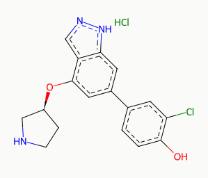 Cl.Oc1ccc(-c2cc(O[C@H]3CCNC3)c3cn[nH]c3c2)cc1Cl